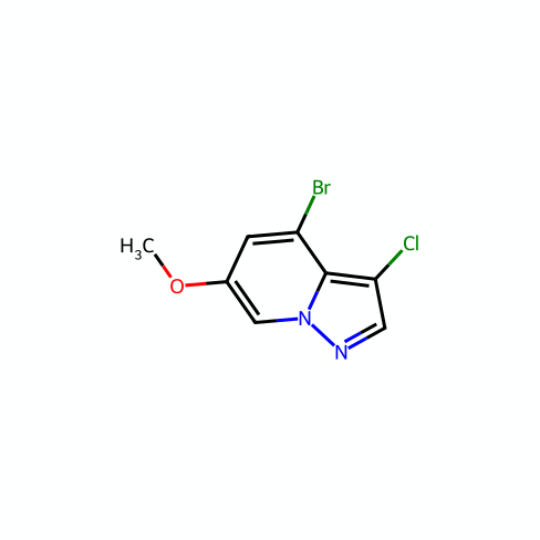 COc1cc(Br)c2c(Cl)cnn2c1